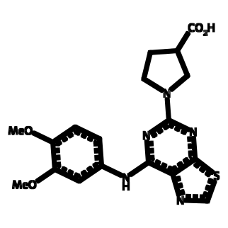 COc1ccc(Nc2nc(N3CCC(C(=O)O)C3)nc3scnc23)cc1OC